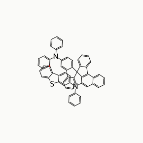 c1ccc(N(c2ccccc2)c2ccc3c(c2)-c2ccccc2C32c3ccccc3-c3c2c(N(c2ccccc2)c2ccc4c(c2)sc2ccccc24)cc2ccccc32)cc1